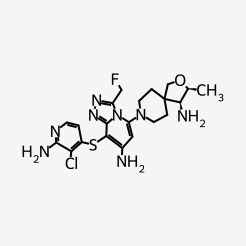 C[C@@H]1OCC2(CCN(c3cc(N)c(Sc4ccnc(N)c4Cl)c4nnc(CF)n34)CC2)[C@@H]1N